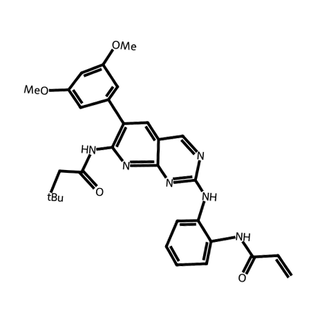 C=CC(=O)Nc1ccccc1Nc1ncc2cc(-c3cc(OC)cc(OC)c3)c(NC(=O)CC(C)(C)C)nc2n1